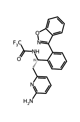 Nc1cccc(C[C@H](NC(=O)C(F)(F)F)c2ccccc2-c2noc3ccccc23)n1